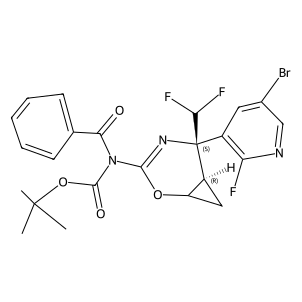 CC(C)(C)OC(=O)N(C(=O)c1ccccc1)C1=N[C@@](c2cc(Br)cnc2F)(C(F)F)[C@H]2CC2O1